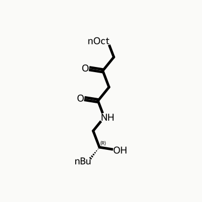 CCCCCCCCCC(=O)CC(=O)NC[C@H](O)CCCC